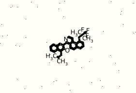 CC(C)Cc1c2c(cc3ccccc13)-c1nccc3c1c(cc1cccc(CC(C)(C)C(F)(F)F)c13)O2